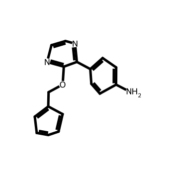 Nc1ccc(-c2nccnc2OCc2ccccc2)cc1